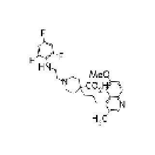 COc1ccc2ncc(C)c(CCCC3(C(=O)O)CCN(CCNc4c(F)cc(F)cc4F)CC3)c2c1